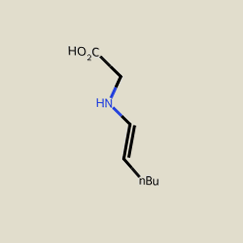 CCCCC=CNCC(=O)O